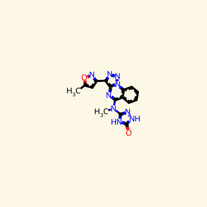 Cc1cc(-c2nnn3c2nc(N(C)c2n[nH]c(=O)[nH]2)c2ccccc23)no1